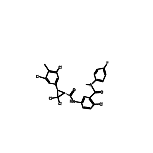 Cc1c(Cl)cc([C@H]2[C@H](C(=O)Nc3ccc(Cl)c(C(=O)N(C)c4ccc(F)cc4)c3)C2(Cl)Cl)cc1Cl